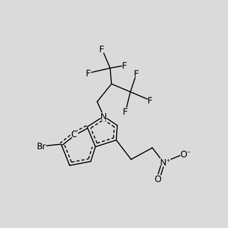 O=[N+]([O-])CCc1cn(CC(C(F)(F)F)C(F)(F)F)c2cc(Br)ccc12